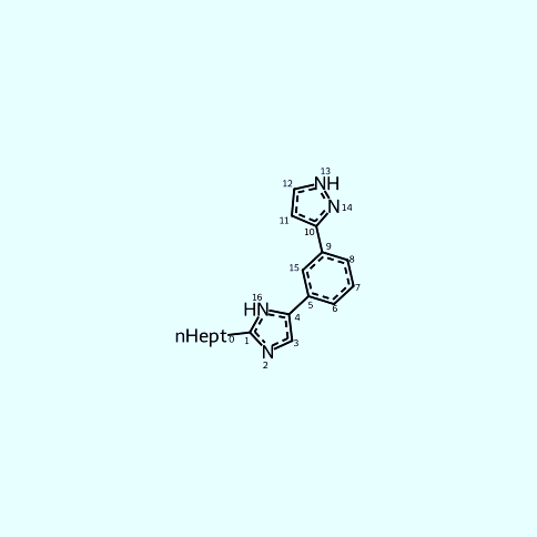 CCCCCCCc1ncc(-c2cccc(-c3cc[nH]n3)c2)[nH]1